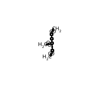 C=CC(=O)Oc1ccc(C#Cc2ccc(-c3ccc(-c4ccc(OC(=O)C=C)cc4)cc3)cc2OC(=O)C=C)cc1